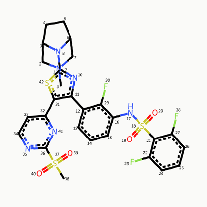 CN1CC2CCC(C1)N2c1nc(-c2cccc(NS(=O)(=O)c3c(F)cccc3F)c2F)c(-c2ccnc(S(C)(=O)=O)n2)s1